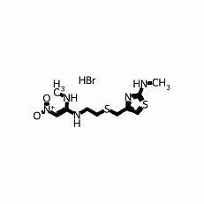 Br.CN/C(=C\[N+](=O)[O-])NCCSCc1csc(NC)n1